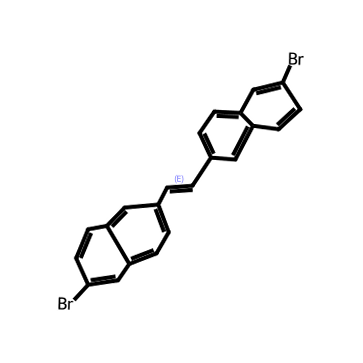 Brc1ccc2cc(/C=C/c3ccc4cc(Br)ccc4c3)ccc2c1